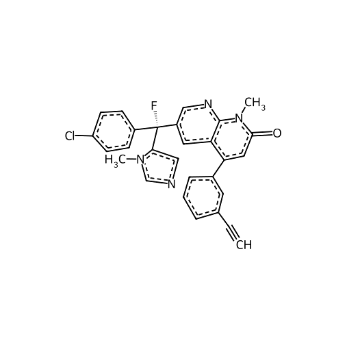 C#Cc1cccc(-c2cc(=O)n(C)c3ncc([C@](F)(c4ccc(Cl)cc4)c4cncn4C)cc23)c1